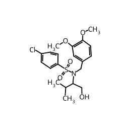 COc1ccc(CN(C(CO)C(C)C)S(=O)(=O)c2ccc(Cl)cc2)cc1OC